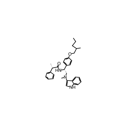 CCCC(C)COc1ccc([C@H](CN(C)c2c[nH]c3ccccc23)NC(=O)[C@@H](C)c2ccccc2)cc1